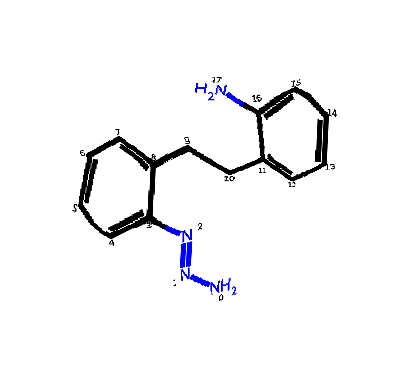 NN=Nc1ccccc1CCc1ccccc1N